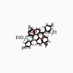 CCOC(=O)C(C)Oc1c(Cl)ccc(P(c2ccc(F)cc2)c2ccc(F)cc2)c1-c1c(P(c2ccc(F)cc2)c2ccc(F)cc2)ccc(Cl)c1O[C@@H](C)C(=O)OCC